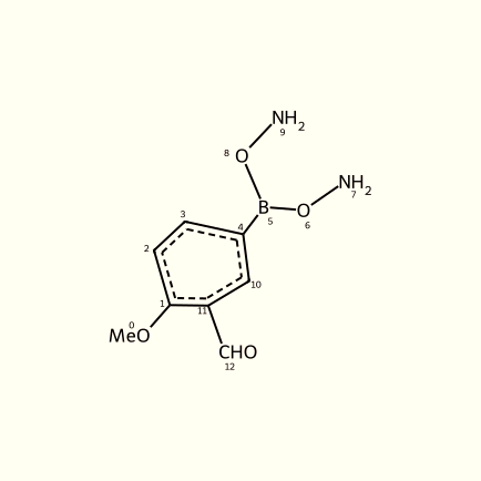 COc1ccc(B(ON)ON)cc1C=O